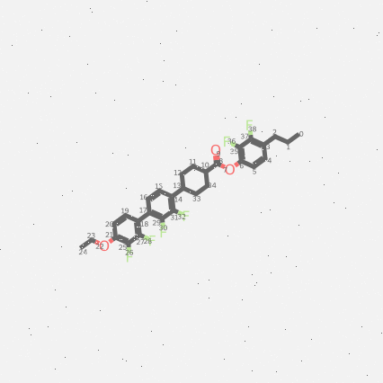 CCCc1ccc(OC(=O)C2CCC(c3ccc(-c4ccc(OCC)c(F)c4F)c(F)c3F)CC2)c(F)c1F